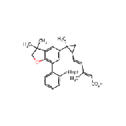 CCCCCCCc1ccccc1-c1cc([C@@]2(C)C[C@H]2/C=C/C(C)=C/C(=O)O)cc2c1OCC2(C)C